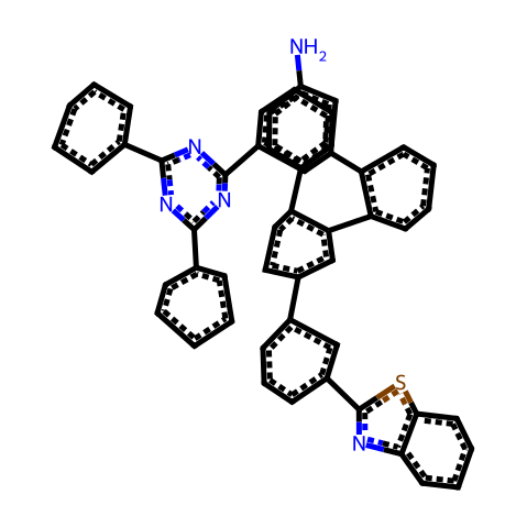 Nc1ccc(-c2ccc(-c3cccc(-c4nc5ccccc5s4)c3)cc2-c2ccccc2-c2cccc(-c3nc(-c4ccccc4)nc(-c4ccccc4)n3)c2)cc1